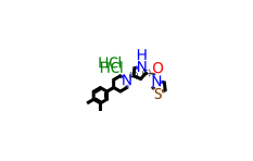 Cc1ccc(C2CCN([C@@H]3CN[C@H](C(=O)N4CCSC4)C3)CC2)cc1C.Cl.Cl